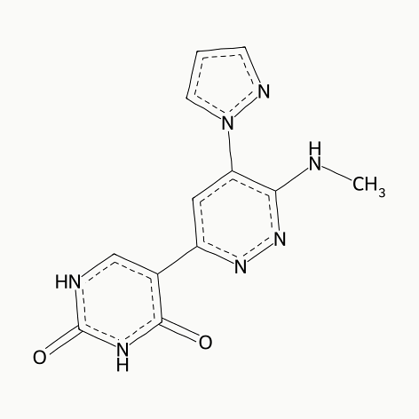 CNc1nnc(-c2c[nH]c(=O)[nH]c2=O)cc1-n1cccn1